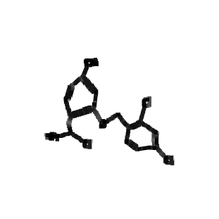 CCCC(Cl)c1ccc(C#N)cc1OCc1ccc(Cl)cc1Cl